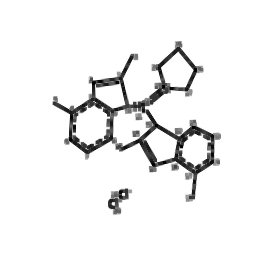 CC1=Cc2c(C)cccc2[CH]1[Hf+2]([CH]1C(C)=Cc2c(C)cccc21)=[Si]1CCCC1.[Cl-].[Cl-]